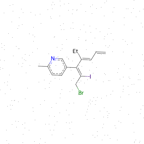 C=C/C=C(CC)/C(=C(\I)CBr)c1ccc(C)nc1